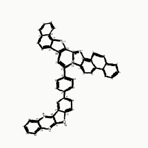 c1ccc2c(c1)ccc1c2ccc2c1nc1c3sc4c5ccccc5ccc4c3cc(-c3ccc(-c4ccc5oc6nc7ccccc7nc6c5c4)cc3)n21